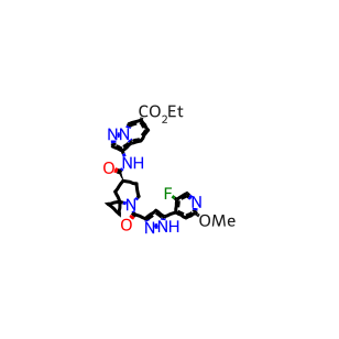 CCOC(=O)c1ccc2c(NC(=O)[C@H]3CCN(C(=O)c4cc(-c5cc(OC)ncc5F)[nH]n4)C4(CC4)C3)cnn2c1